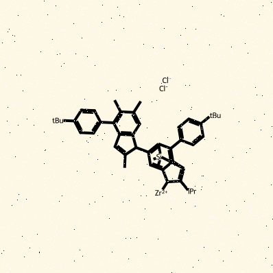 CC1=Cc2c(cc(C)c(C)c2-c2ccc(C(C)(C)C)cc2)C1c1cc2c3c(-c4ccc(C(C)(C)C)cc4)c1[Si](C)(C)C3=C(C(C)C)[CH]2[Zr+2].[Cl-].[Cl-]